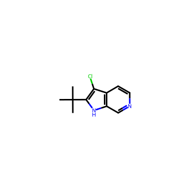 CC(C)(C)c1[nH]c2cnccc2c1Cl